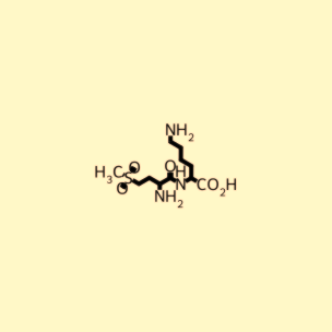 CS(=O)(=O)CCC(N)C(=O)NC(CCCCN)C(=O)O